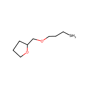 [SiH3]CCCOCC1CCCO1